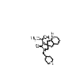 CC(C)N1C(=O)N(CC2CCOCC2)CC12CC1CCCNC1C2